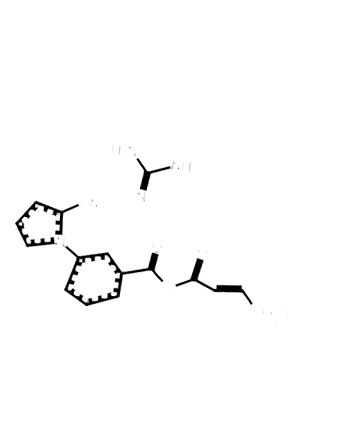 N#Cc1cccn1-c1cccc(C(=O)OC(=O)/C=C/C(=O)O)c1.N=C(N)N